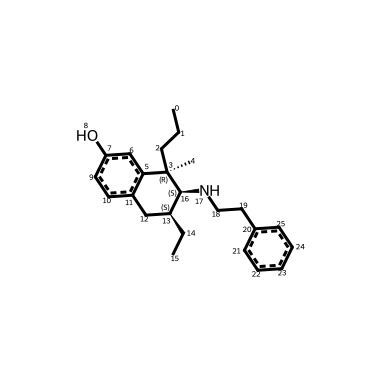 CCC[C@]1(C)c2cc(O)ccc2C[C@H](CC)[C@@H]1NCCc1ccccc1